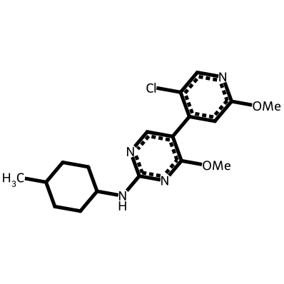 COc1cc(-c2cnc(NC3CCC(C)CC3)nc2OC)c(Cl)cn1